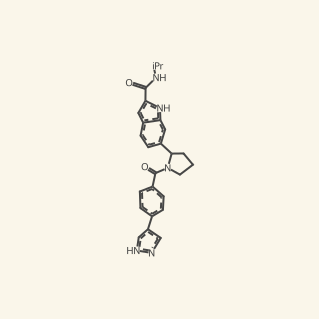 CC(C)NC(=O)c1cc2ccc(C3CCCN3C(=O)c3ccc(-c4cn[nH]c4)cc3)cc2[nH]1